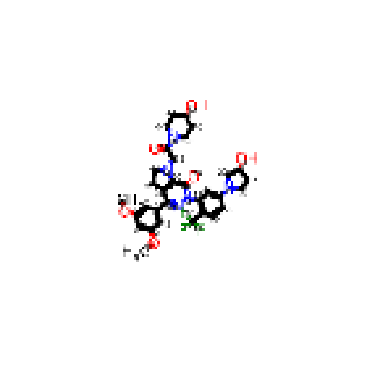 COc1cc(OC)cc(-c2nn(-c3cc(N4CC[C@H](O)C4)ccc3C(F)(F)F)c(=O)c3c2CCN3CC(=O)N2CCC(O)CC2)c1